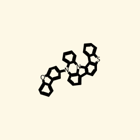 c1ccc2c(c1)N(c1ccc3oc4ccccc4c3c1)c1cccc3c4ccc5sc6ccccc6c5c4n-2c13